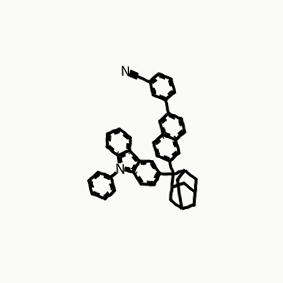 N#Cc1cccc(-c2ccc3cc(C4(c5ccc6c(c5)c5ccccc5n6-c5ccccc5)C5CC6CC(C5)CC4C6)ccc3c2)c1